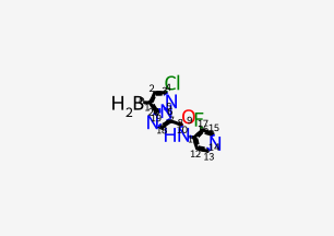 Bc1cc(Cl)nn2c(C(=O)Nc3ccncc3F)cnc12